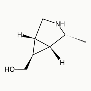 C[C@H]1NC[C@H]2[C@H](CO)[C@H]21